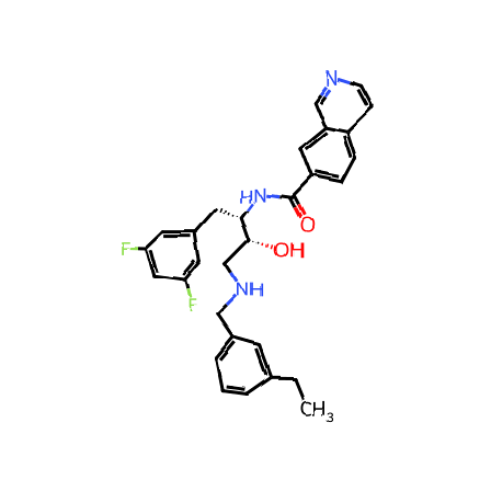 CCc1cccc(CNC[C@@H](O)[C@H](Cc2cc(F)cc(F)c2)NC(=O)c2ccc3ccncc3c2)c1